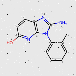 Cc1ccccc1-n1c(N)nc2ccc(O)nc21